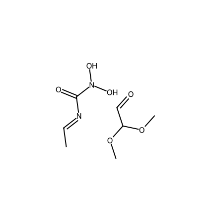 CC=NC(=O)N(O)O.COC(C=O)OC